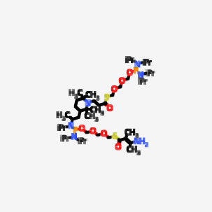 C/C(N)=C(/C)C(=O)SCOCOCOP(N(C(C)C)C(C)C)N(C(C)C)C(C)CC1CCC(C)(C)N(CCC(=O)SCOCOCOP(N(C(C)C)C(C)C)N(C(C)C)C(C)C)C1(C)C